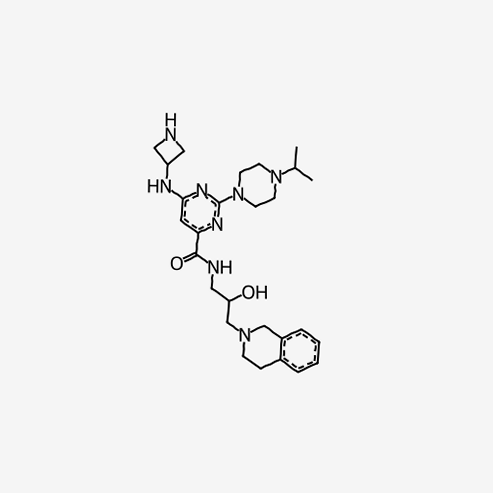 CC(C)N1CCN(c2nc(NC3CNC3)cc(C(=O)NCC(O)CN3CCc4ccccc4C3)n2)CC1